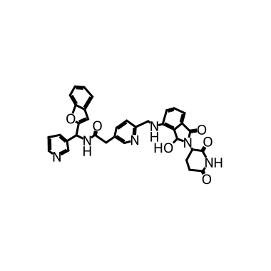 O=C1CCC(N2C(=O)c3cccc(NCc4ccc(CC(=O)NC(c5cccnc5)c5cc6ccccc6o5)cn4)c3C2O)C(=O)N1